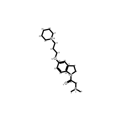 CN(C)CC(=O)N1CCc2cc(OCCCN3CCCCC3)ccc21